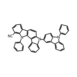 N#Cc1cccc2c3ccc4c(c5ccccc5n4-c4ccc5c(c4)c4ccccc4n5-c4ccccc4)c3n(-c3ccccc3)c12